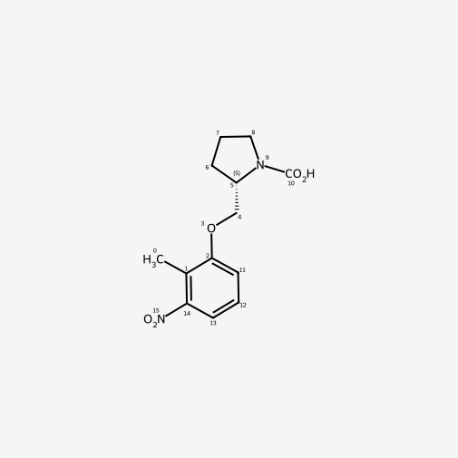 Cc1c(OC[C@@H]2CCCN2C(=O)O)cccc1[N+](=O)[O-]